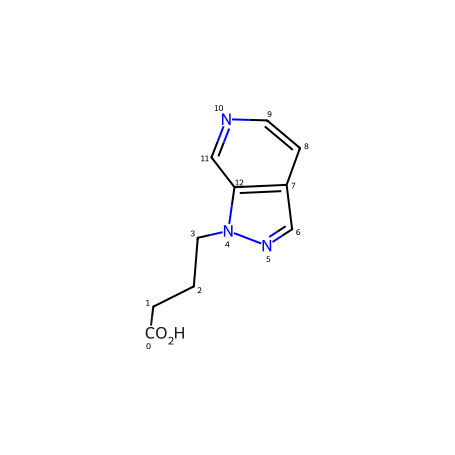 O=C(O)CCCn1ncc2ccncc21